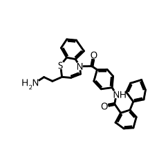 NCCC1C=CN(C(=O)c2ccc(NC(=O)c3ccccc3-c3ccccc3)cc2)c2ccccc2S1